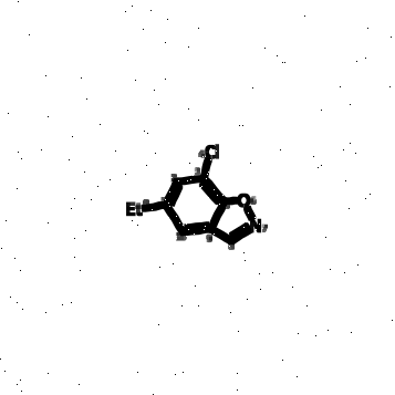 CCc1cc(Cl)c2oncc2c1